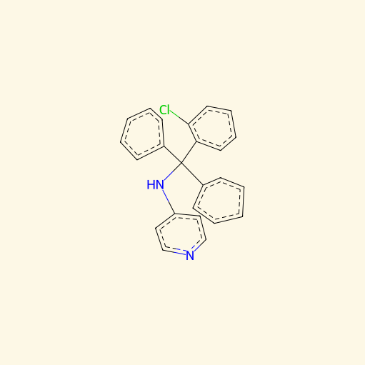 Clc1ccccc1C(Nc1ccncc1)(c1ccccc1)c1ccccc1